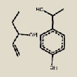 C=CC(O)CC.CC(O)c1ccc(O)cc1